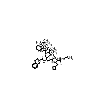 C=CCNC(=O)C(=O)C(CC1CCC1)NC(=O)C1CC(OC(=O)N2CCc3ccccc3C2)CN1C(=O)C(NC(=O)NC1(CS(=O)(=O)C(C)(C)C)CCCCC1)C(C)(C)C